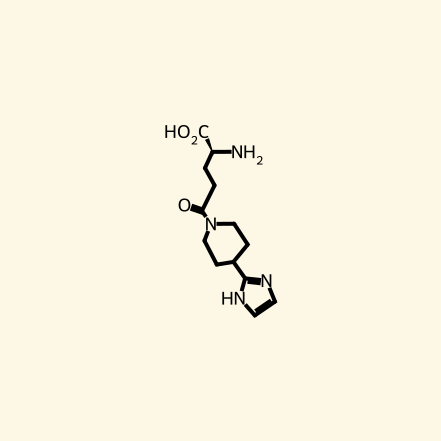 N[C@@H](CCC(=O)N1CCC(c2ncc[nH]2)CC1)C(=O)O